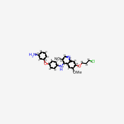 COc1cc2c(Nc3ccc(Oc4cccc(N)c4)cc3)c(C#N)cnc2cc1OCCCCl